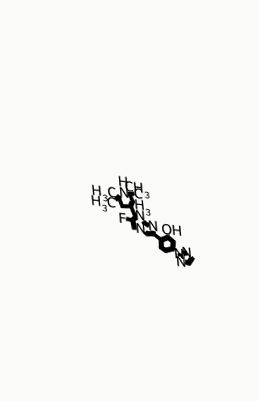 CC1(C)C=C(c2nc3nc(-c4ccc(-n5nccn5)cc4O)cn3cc2F)CC(C)(C)N1